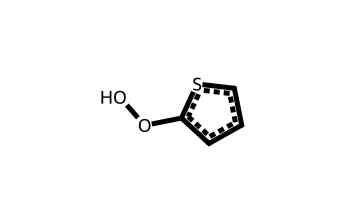 OOc1cccs1